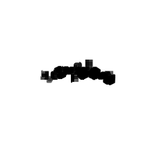 CN1CCN(CCCNC(=O)c2cccc(Nc3ccc(/C=C/c4ccccn4)cc3)c2)CC1